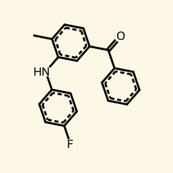 Cc1ccc(C(=O)c2ccccc2)cc1Nc1ccc(F)cc1